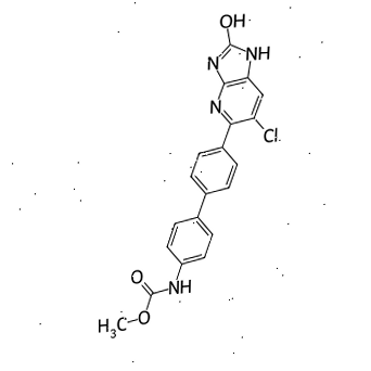 COC(=O)Nc1ccc(-c2ccc(-c3nc4nc(O)[nH]c4cc3Cl)cc2)cc1